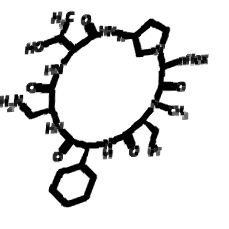 CCCCCCC1C(=O)N(C)[C@@H](CC(C)C)C(=O)N[C@@H](C2CCCCC2)C(=O)N[C@@H](CN)C(=O)N[C@@H]([C@H](C)O)C(=O)N[C@@H]2CCN1C2